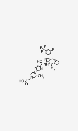 C[C@@H]1CCCN1Cc1sc(NC(O)c2cnc(N3CCN(CCC(=O)O)C[C@H]3C)cn2)nc1-c1cc(F)cc(C(F)(F)F)c1